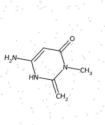 C=C1NC(N)=CC(=O)N1C